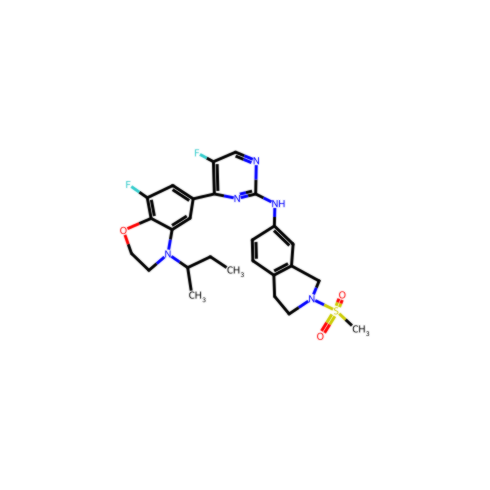 CCC(C)N1CCOc2c(F)cc(-c3nc(Nc4ccc5c(c4)CN(S(C)(=O)=O)CC5)ncc3F)cc21